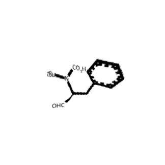 CC(C)(C)N(C(=O)O)[C@H](C=O)Cc1ccccc1